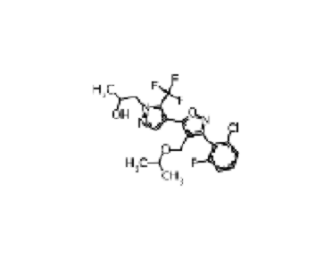 CC(O)Cn1ncc(-c2onc(-c3c(F)cccc3Cl)c2COC(C)C)c1C(F)(F)F